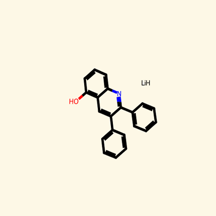 Oc1cccc2nc(-c3ccccc3)c(-c3ccccc3)cc12.[LiH]